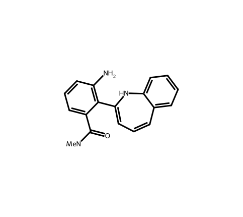 CNC(=O)c1cccc(N)c1C1=CC=Cc2ccccc2N1